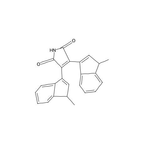 CC1C=C(C2=C(C3=CC(C)c4ccccc43)C(=O)NC2=O)c2ccccc21